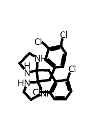 Clc1ccc(CC2(C3(Cc4c(Cl)cccc4Cl)NCCN3)NCCN2)cc1Cl